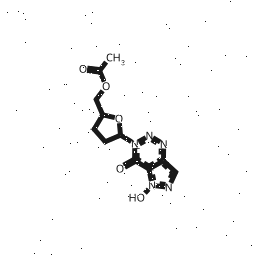 CC(=O)OCC1[CH][CH]C(n2nnc3cnn(O)c3c2=O)O1